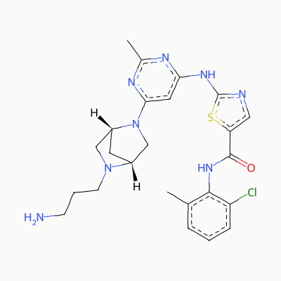 Cc1nc(Nc2ncc(C(=O)Nc3c(C)cccc3Cl)s2)cc(N2C[C@H]3C[C@@H]2CN3CCCN)n1